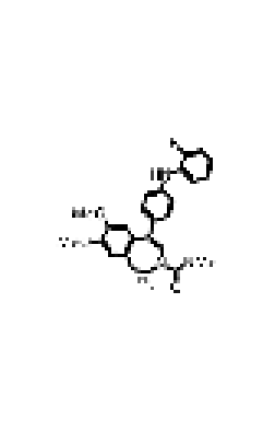 CNC(=O)N1C=C(c2ccc(Nc3ccccc3F)cc2)c2cc(OC)c(OC)cc2C[C@H]1C